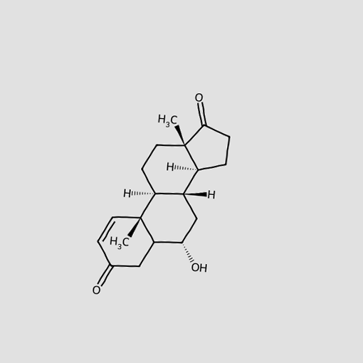 C[C@]12C=CC(=O)CC1[C@@H](O)C[C@@H]1[C@@H]2CC[C@]2(C)C(=O)CC[C@@H]12